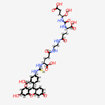 O=C(O)CC[C@H](NC(=O)N[C@@H](CCC(=O)NCCNC(=O)CC[C@H](NC(=S)Nc1ccc(-c2c3ccc(=O)cc-3oc3cc(O)ccc23)c(C(=O)O)c1)C(=O)O)C(=O)O)OO